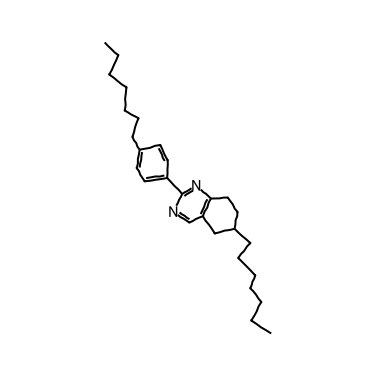 CCCCCCCc1ccc(-c2ncc3c(n2)CCC(CCCCCCC)C3)cc1